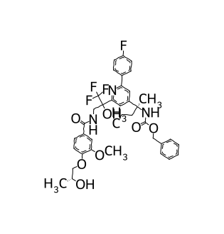 CCC[C@](C)(NC(=O)OCc1ccccc1)c1cc(-c2ccc(F)cc2)nc(C(O)(CNC(=O)c2ccc(OC[C@@H](C)O)c(OC)c2)C(F)(F)F)c1